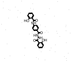 O=C(NNC(=O)c1ccccc1O)c1ccc(NC(=O)c2ccccc2O)cc1